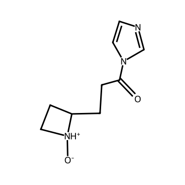 O=C(CCC1CC[NH+]1[O-])n1ccnc1